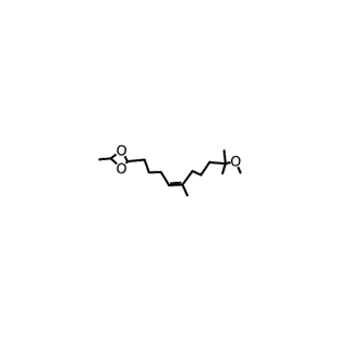 COC(C)(C)CCCC(C)=CCCCC1OC(C)O1